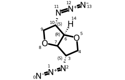 [N-]=[N+]=N[C@H]1CO[C@H]2C1OC[C@@H]2N=[N+]=[N-]